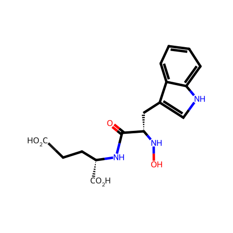 O=C(O)CC[C@H](NC(=O)[C@H](Cc1c[nH]c2ccccc12)NO)C(=O)O